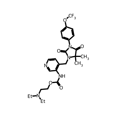 CCN(CC)CCOC(=O)Nc1cnccc1CN1C(=O)N(c2ccc(OC(F)(F)F)cc2)C(=O)C1(C)C